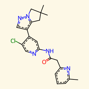 Cc1cccc(CC(=O)Nc2cc(-c3cnn4c3CC(C)(C)C4)c(Cl)cn2)n1